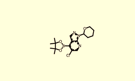 CC1(C)OB(c2c(Cl)cnc3c2cnn3C2CCCCO2)OC1(C)C